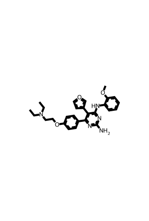 CCN(CC)CCOc1ccc(-c2nc(N)nc(Nc3ccccc3OC)c2-c2ccoc2)cc1